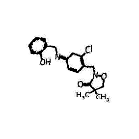 CC1(C)CON(CC2=C(Cl)CC(=NCc3ccccc3O)C=C2)C1=O